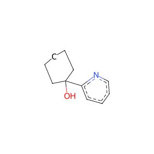 OC1(c2ccccn2)CCCCC1